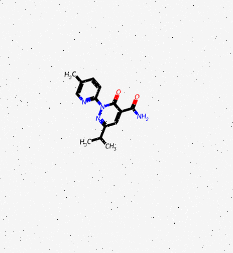 Cc1ccc(-n2nc(C(C)C)cc(C(N)=O)c2=O)nc1